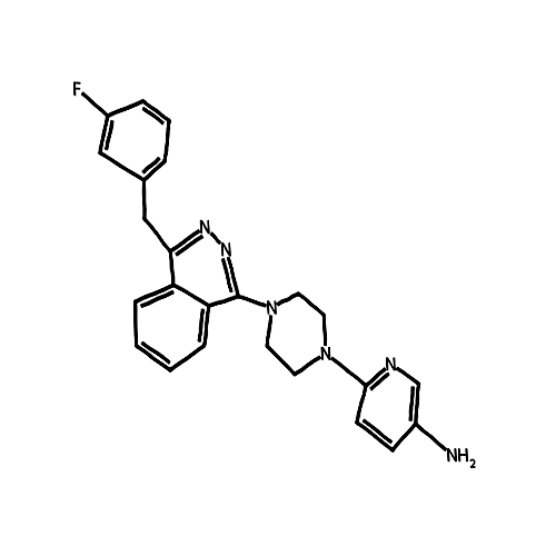 Nc1ccc(N2CCN(c3nnc(Cc4cccc(F)c4)c4ccccc34)CC2)nc1